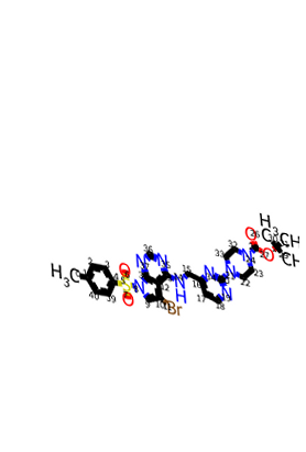 Cc1ccc(S(=O)(=O)n2cc(Br)c3c(NCc4ccnc(N5CCN(C(=O)OC(C)(C)C)CC5)n4)ncnc32)cc1